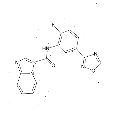 O=C(Nc1cc(-c2ncon2)ccc1F)c1cnc2ccccn12